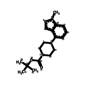 Cn1ncc2c(N3CCN(C(=O)OC(C)(C)C)CC3)cccc21